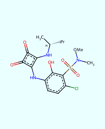 CON(C)S(=O)(=O)c1c(Cl)ccc(Nc2c(N[C@H](C)C(C)C)c(=O)c2=O)c1O